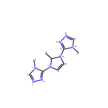 CC1N(c2nncn2C)C=CN1c1nncn1C